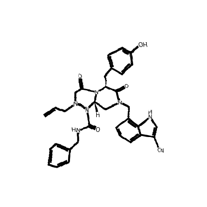 C=CCN1CC(=O)N2[C@@H](Cc3ccc(O)cc3)C(=O)N(Cc3cccc4c(C#N)c[nH]c34)C[C@@H]2N1C(=O)NCc1ccccc1